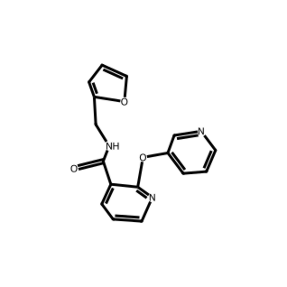 O=C(NCc1ccco1)c1cccnc1Oc1cccnc1